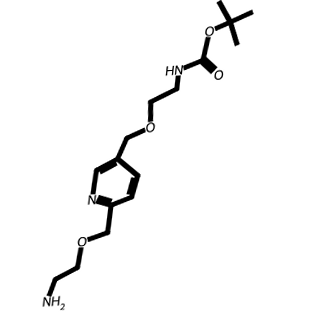 CC(C)(C)OC(=O)NCCOCc1ccc(COCCN)nc1